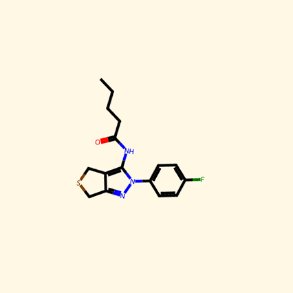 CCCCC(=O)Nc1c2c(nn1-c1ccc(F)cc1)CSC2